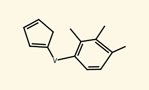 Cc1cc[c]([V][C]2=CC=CC2)c(C)c1C